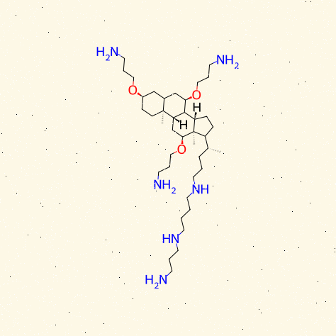 C[C@H](CCCNCCCCNCCCN)C1CC[C@H]2C3[C@H](OCCCN)CC4C[C@H](OCCCN)CC[C@]4(C)[C@H]3C[C@H](OCCCN)[C@]12C